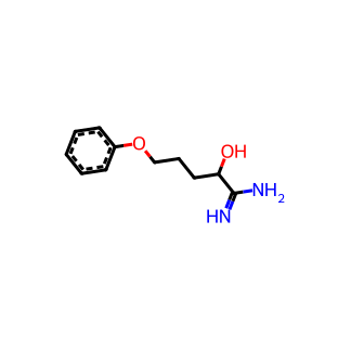 N=C(N)C(O)CCCOc1ccccc1